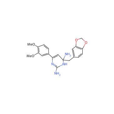 COc1ccc(C2=CC(N)(Cc3ccc4c(c3)OCO4)NC(N)=N2)cc1OC